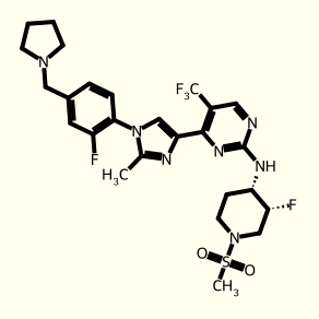 Cc1nc(-c2nc(N[C@H]3CCN(S(C)(=O)=O)C[C@H]3F)ncc2C(F)(F)F)cn1-c1ccc(CN2CCCC2)cc1F